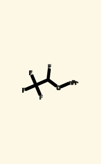 CC[CH]OC(F)C(F)(F)F